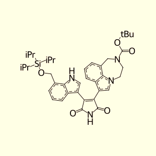 CC(C)[Si](OCc1cccc2c(C3=C(c4cn5c6c(cccc46)CN(C(=O)OC(C)(C)C)CC5)C(=O)NC3=O)c[nH]c12)(C(C)C)C(C)C